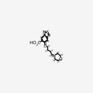 O=C(O)c1cc2nsnc2cc1OCCCCN1CCOCC1